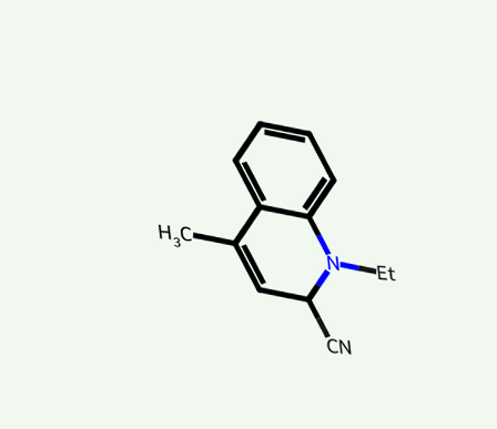 CCN1c2ccccc2C(C)=CC1C#N